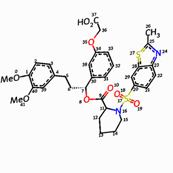 COc1ccc(CC[C@@H](OC(=O)C2CCCCN2S(=O)(=O)c2ccc3nc(C)sc3c2)c2cccc(OCC(=O)O)c2)cc1OC